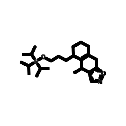 CC1C2=C(CCCC2CCCO[Si](C(C)C)(C(C)C)C(C)C)Cc2oncc21